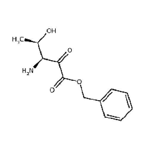 C[C@@H](O)[C@H](N)C(=O)C(=O)OCc1ccccc1